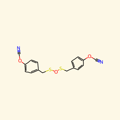 N#COc1ccc(CSOSCc2ccc(OC#N)cc2)cc1